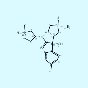 Cc1ccc([C@@](O)(C(=O)O[C@@H]2CC[N+](C)(C)C2)[C@@H]2CCC(F)(F)C2)cc1.[Br-]